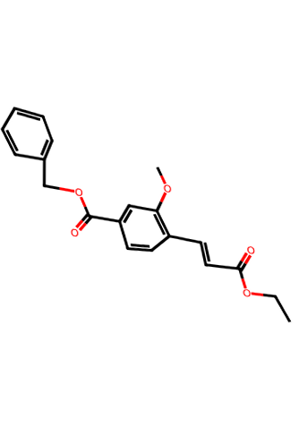 CCOC(=O)C=Cc1ccc(C(=O)OCc2ccccc2)cc1OC